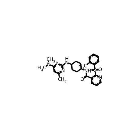 Cc1cc(N(C)C)nc(NC2CCC(NC(=O)c3cccnc3S(=O)(=O)c3ccccc3C)CC2)n1